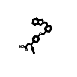 CC#C[C@@H](CC(=O)O)c1ccc(OCc2cccc(CN3Cc4ccccc4C3)c2)cc1